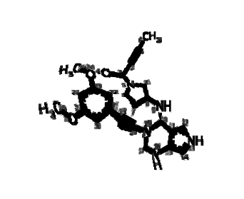 CC#CC(=O)N1CCC(N[C@@H]2c3c[nH]cc3NCN2C#Cc2cc(OC)cc(OC)c2)C1